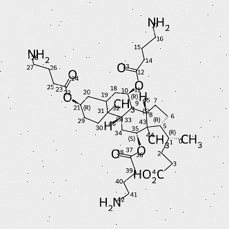 C[C@H](CCC(=O)O)[C@H]1CC[C@H]2C3[C@H](OC(=O)CCCN)CC4C[C@H](OC(=O)CCCN)CCC4(C)[C@H]3C[C@H](OC(=O)CCCN)C12C